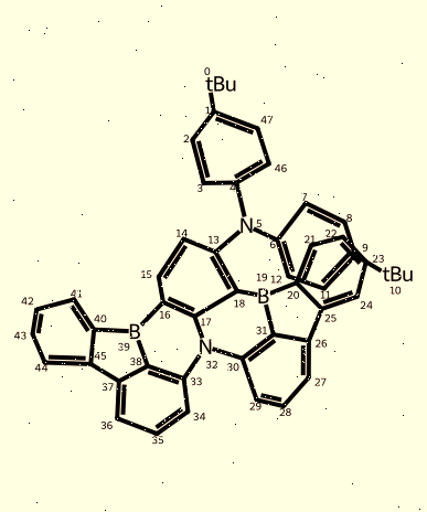 CC(C)(C)c1ccc(N(c2ccc(C(C)(C)C)cc2)c2ccc3c4c2B2c5ccccc5-c5cccc(c52)N4c2cccc4c2B3c2ccccc2-4)cc1